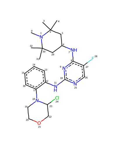 CN1C(C)(C)CC(Nc2nc(Nc3ccccc3N3CCOCC3Cl)ncc2F)CC1(C)C